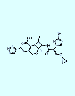 Nc1nc(/C(=N\OC2CC2)C(=O)N[C@@H]2C(=O)N3C(C(=O)O)=C(CSc4cnns4)CS[C@H]23)cs1